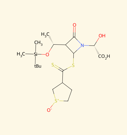 C[C@@H](O[Si](C)(C)C(C)(C)C)C1C(=O)N([C@H](O)C(=O)O)C1SC(=S)C1CC[S+]([O-])C1